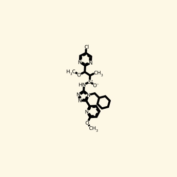 COc1cccc(-c2nnc(N[S+]([O-])C(C)C(OC)c3ncc(Cl)cn3)n2CC2CCCCC2)n1